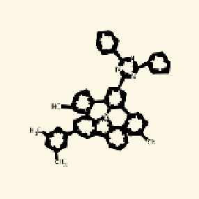 Cc1cc(C)cc(-c2ccc3c(c2)c2ccccc2n3-c2c(-c3ccc(C#N)cc3)cc(-c3nc(-c4ccccc4)nc(-c4ccccc4)n3)cc2-c2ccc(C#N)cc2)c1